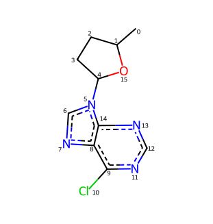 CC1CCC(n2cnc3c(Cl)ncnc32)O1